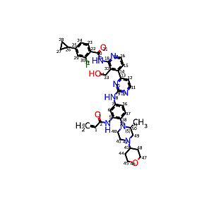 C=CC(=O)Nc1cc(Nc2nccc(-c3ccnc(NC(=O)c4ccc(C5CC5)cc4F)c3CO)n2)ccc1N1CCN(C2CCOCC2)C[C@@H]1C